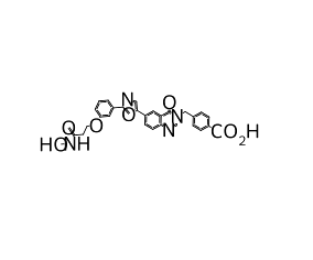 O=C(CCOc1cccc(-c2ncc(-c3ccc4ncn(Cc5ccc(C(=O)O)cc5)c(=O)c4c3)o2)c1)NO